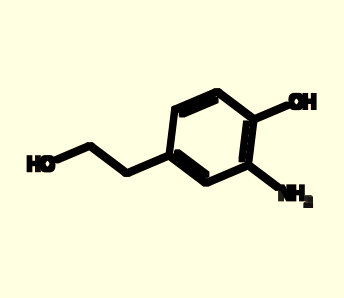 Nc1cc(CCO)ccc1O